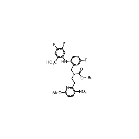 COc1ccc([N+](=O)[O-])c(CCN(Cc2cc(F)ccc2Nc2cc(F)c(F)cc2C(=O)O)C(=O)OC(C)(C)C)n1